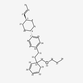 CC=C[C@H]1CC[C@H](c2ccc(CCC3(COCCC)C=CC=CC3)cc2)CC1